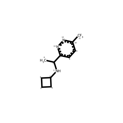 CC(NC1CCC1)c1ccc(C(F)(F)F)nn1